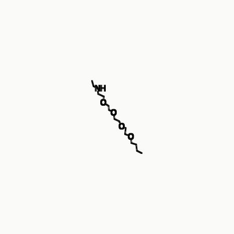 CCCCOCCOCCOCCOCCNCC